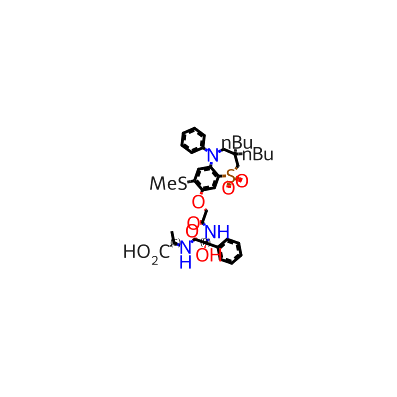 CCCCC1(CCCC)CN(c2ccccc2)c2cc(SC)c(OCC(=O)N[C@](O)(C(=O)N[C@@H](C)C(=O)O)c3ccccc3)cc2S(=O)(=O)C1